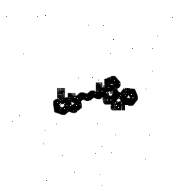 O=C(O)C(c1ccccc1)N1CCC[C@@H]1C(F)(F)CCCCc1ccc2c(n1)NCCC2